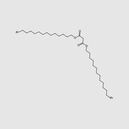 CC(C)CCCCCCCCCCCCCOC(=O)CC(=O)OCCCCCCCCCCCCCC(C)C